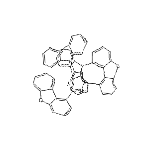 c1ccc2c(c1)oc1cccc(-c3nc(-c4cccc5oc6cccc(-n7c8ccccc8c8ccccc87)c6c45)nc(-n4c5ccccc5c5ccccc54)n3)c12